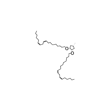 CCCCC/C=C\C/C=C\CCCCCCCCO[C@H]1C[C@@H](C)C[C@H]1OCCCCCCCC/C=C\C/C=C\CCCCC